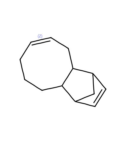 C1=CC2CC1C1C/C=C\CCCC21